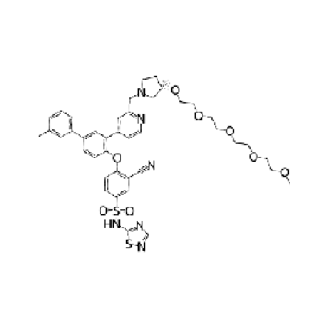 COCCOCCOCCOCCO[C@H]1CCN(Cc2cc(-c3cc(-c4cccc(C)c4)ccc3Oc3ccc(S(=O)(=O)Nc4ncns4)cc3C#N)ccn2)C1